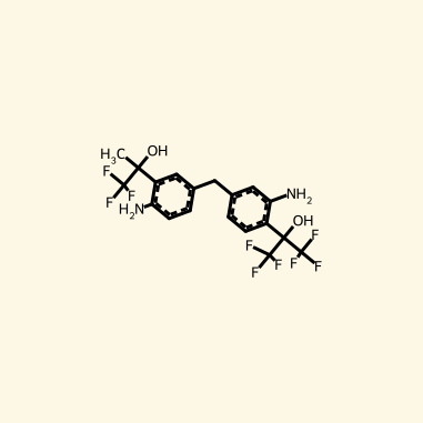 CC(O)(c1cc(Cc2ccc(C(O)(C(F)(F)F)C(F)(F)F)c(N)c2)ccc1N)C(F)(F)F